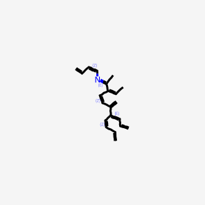 C=C/C=C\N=C(/C)C(=CC)/C=C\C(=C)C(/C=C\C=C)=C/C=C